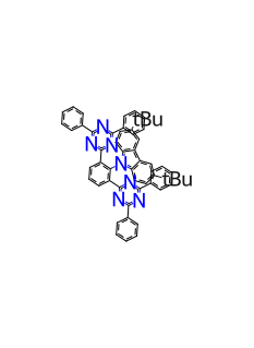 CC(C)(C)c1ccc2c(c1)c1cc(C(C)(C)C)ccc1n2-c1c(-c2nc(-c3ccccc3)nc(-c3ccccc3)n2)cccc1-c1nc(-c2ccccc2)nc(-c2ccccc2)n1